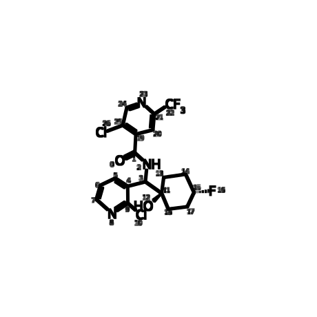 O=C(NC(c1cccnc1Cl)[C@]1(O)CC[C@H](F)CC1)c1cc(C(F)(F)F)ncc1Cl